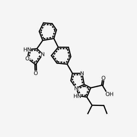 CCC(C)c1[nH]n2cc(-c3ccc(-c4ccccc4-c4nc(=O)o[nH]4)cc3)nc2c1C(=O)O